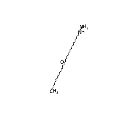 CCCCCCCCC=CCCCCCCCC(=O)CCCCCCCCCCCCCCCCCCNCCN